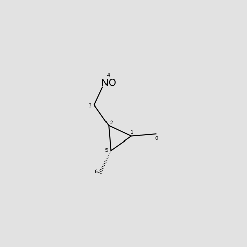 CC1C(CN=O)[C@H]1C